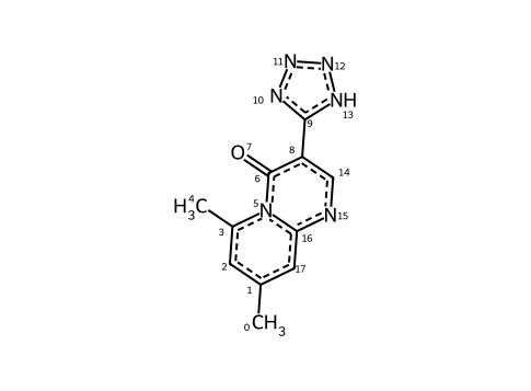 Cc1cc(C)n2c(=O)c(-c3nnn[nH]3)cnc2c1